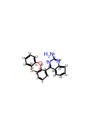 Nc1nc(-c2cccc3c2Oc2ccccc2S3)c2ccccc2n1